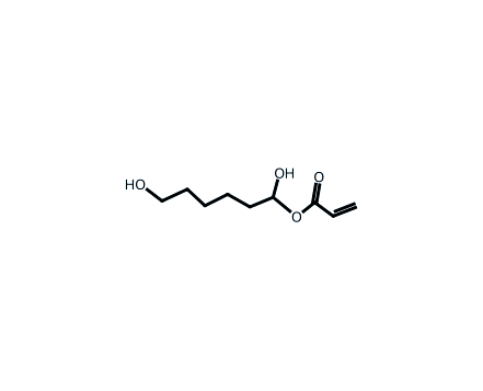 C=CC(=O)OC(O)CCCCCO